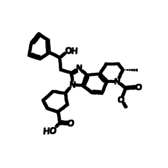 COC(=O)N1c2ccc3c(nc(CC(O)c4ccccc4)n3C3CCCC(C(=O)O)C3)c2CC[C@@H]1C